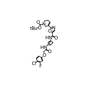 CC(C)(C)OC(=O)N1CCC=C(c2ncc(C(=O)NC34CC(C3)C(NC(=O)COc3ccc(Cl)c(F)c3)C4)o2)C1